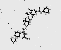 C1CCCC1.Cc1nc(NCc2ccccc2)nc(C)c1C(=O)N1CC2CN(CCC(NC(=O)O)c3ccccc3)C[C@H]2C1